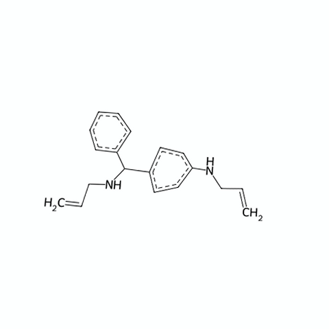 C=CCNc1ccc(C(NCC=C)c2ccccc2)cc1